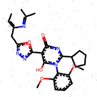 C/C=C(/Cc1nnc(-c2c(O)n(-c3c(OC)cccc3OC)c(C3CCCC3)nc2=O)o1)N=C(C)C